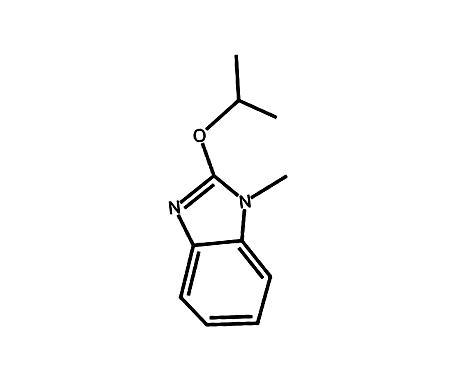 CC(C)Oc1nc2ccccc2n1C